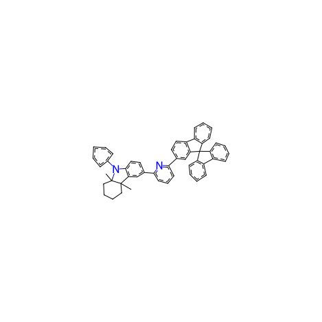 CC12CCCCC1(C)N(c1ccccc1)c1ccc(-c3cccc(-c4ccc5c(c4)C4(c6ccccc6-c6ccccc64)c4ccccc4-5)n3)cc12